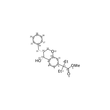 CCC(CC)(C(=O)OC)c1ccc2c(c1)OC[C@@H](Cc1ccccc1)[C@H]2O